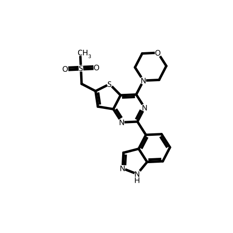 CS(=O)(=O)Cc1cc2nc(-c3cccc4[nH]ncc34)nc(N3CCOCC3)c2s1